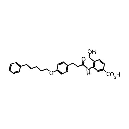 O=C(CCc1ccc(OCCCCCc2ccccc2)cc1)Nc1cc(C(=O)O)ccc1CO